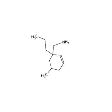 CCCC1(CN)C=CCC(C)C1